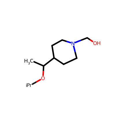 CC(C)OC(C)C1CCN(CO)CC1